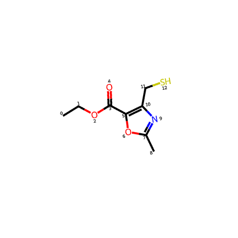 CCOC(=O)c1oc(C)nc1CS